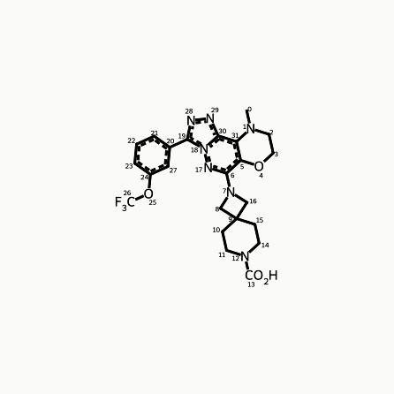 CN1CCOc2c(N3CC4(CCN(C(=O)O)CC4)C3)nn3c(-c4cccc(OC(F)(F)F)c4)nnc3c21